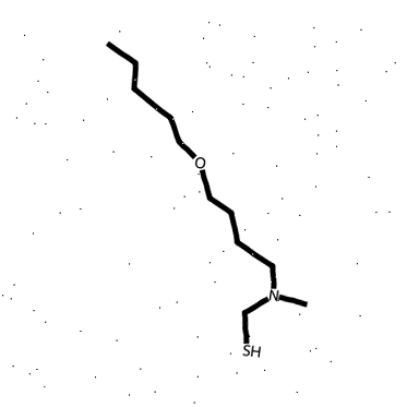 CCCCCOCCCCN(C)CS